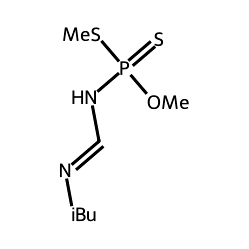 CCC(C)N=CNP(=S)(OC)SC